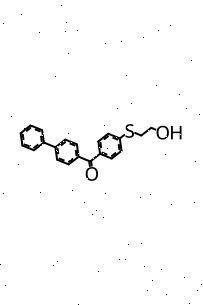 O=C(c1ccc(SCCO)cc1)c1ccc(-c2ccccc2)cc1